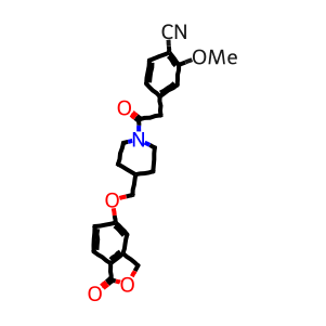 COc1cc(CC(=O)N2CCC(COc3ccc4c(c3)COC4=O)CC2)ccc1C#N